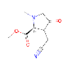 COC(=O)[C@@H]1C(CC#N)C(=O)CN1C